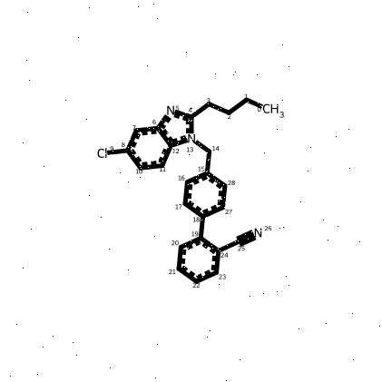 CCCCc1nc2cc(Cl)ccc2n1Cc1ccc(-c2ccccc2C#N)cc1